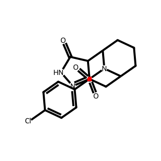 O=C1NN=C2CC3CCCC(C12)N3S(=O)(=O)c1ccc(Cl)cc1